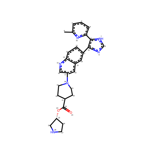 Cc1cccc(-c2[nH]cnc2-c2ccc3ncc(N4CCC(C(=O)O[C@@H]5CCNC5)CC4)cc3c2)n1